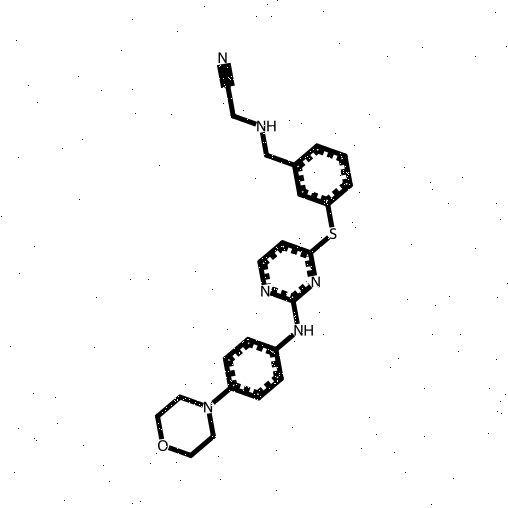 N#CCNCc1cccc(Sc2ccnc(Nc3ccc(N4CCOCC4)cc3)n2)c1